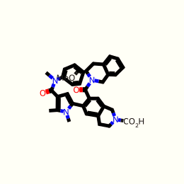 COC[C@@H]1Cc2ccccc2CN1C(=O)c1cc2c(cc1-c1cc(C(=O)N(C)c3ccccc3)c(C)n1C)CCN(C(=O)O)C2